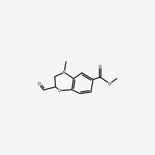 COC(=O)c1ccc2c(c1)N(C)CC(C=O)O2